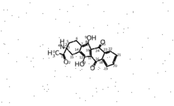 CC(=O)[C@@]1(N)CCc2c(O)c3c(c(O)c2C1)C(=O)c1ccccc1C3=O